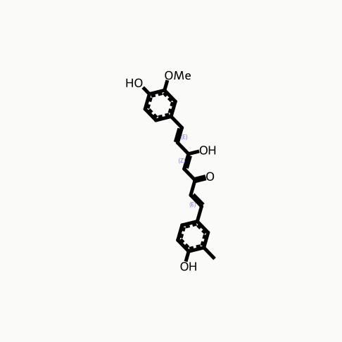 COc1cc(/C=C/C(O)=C/C(=O)/C=C/c2ccc(O)c(C)c2)ccc1O